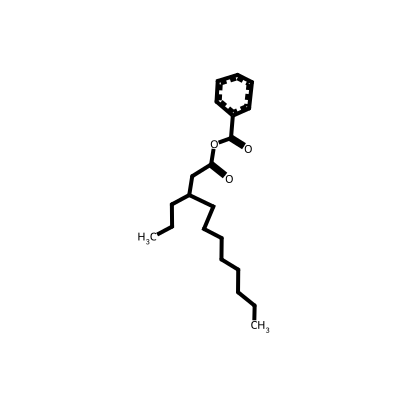 CCCCCCCCC(CCC)CC(=O)OC(=O)c1ccccc1